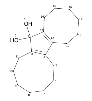 OC1(O)C2=C(CCCCCCC2)C2=C1CCCCCC2